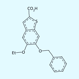 CCOc1cc2cc(C(=O)O)sc2cc1OCc1ccccc1